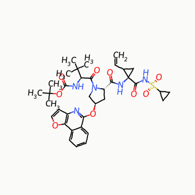 C=CC1C[C@]1(NC(=O)[C@@H]1C[C@@H](Oc2nc3ccoc3c3ccccc23)CN1C(=O)[C@@H](NC(=O)OC(C)(C)C)C(C)(C)C)C(=O)NS(=O)(=O)C1CC1